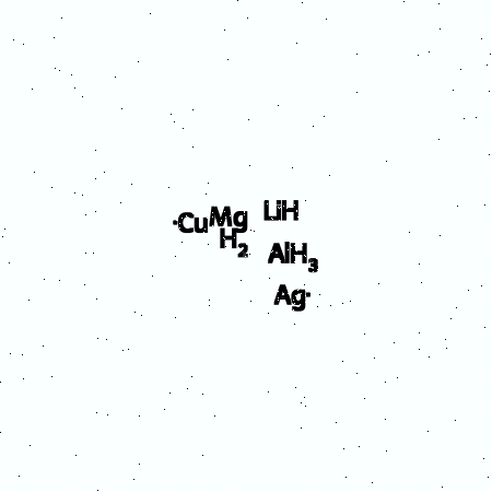 [Ag].[AlH3].[Cu].[LiH].[MgH2]